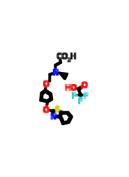 O=C(O)C(F)(F)F.O=C(O)CCN(CCOc1ccc(Oc2nc3ccccc3s2)cc1)C1CC1